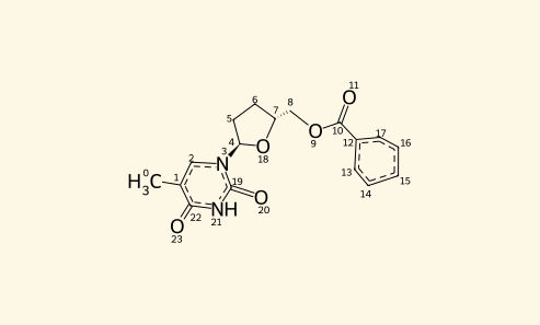 Cc1cn([C@H]2CC[C@H](COC(=O)c3ccccc3)O2)c(=O)[nH]c1=O